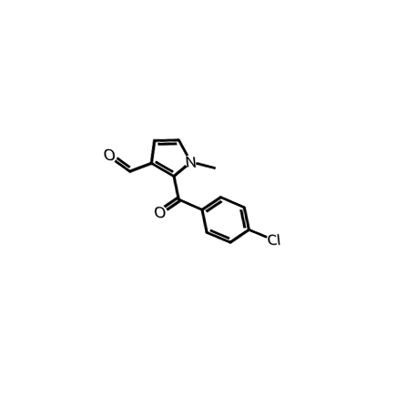 Cn1ccc(C=O)c1C(=O)c1ccc(Cl)cc1